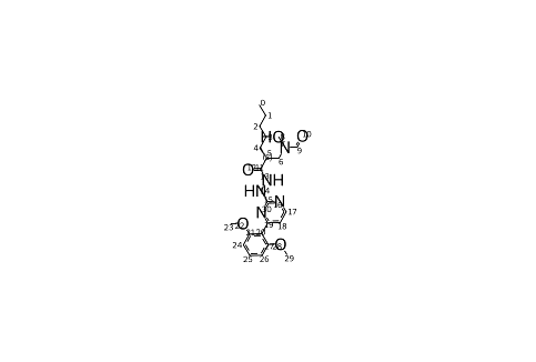 CCCCC[C@@H](CN(O)C=O)C(=O)NNc1nccc(-c2c(OC)cccc2OC)n1